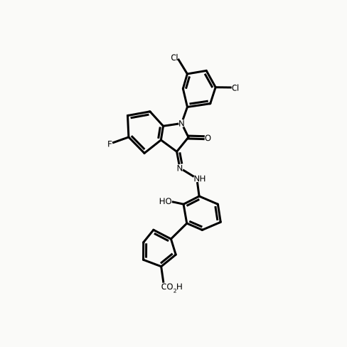 O=C(O)c1cccc(-c2cccc(NN=C3C(=O)N(c4cc(Cl)cc(Cl)c4)c4ccc(F)cc43)c2O)c1